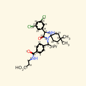 CCCC(c1ccc(C(=O)NCCC(=O)O)cc1)N1C(=O)C(c2cc(Cl)cc(Cl)c2)NC12CCC(C)(C)CC2